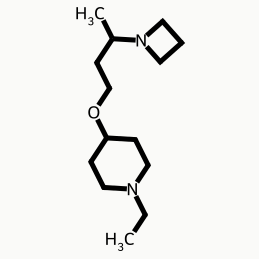 CCN1CCC(OCCC(C)N2CCC2)CC1